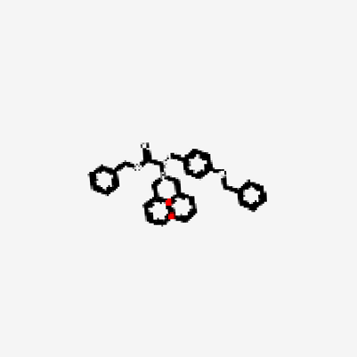 O=C(OCc1ccccc1)[C@H](Cc1ccc(OCc2ccccc2)cc1)N(Cc1ccccc1)Cc1ccccc1